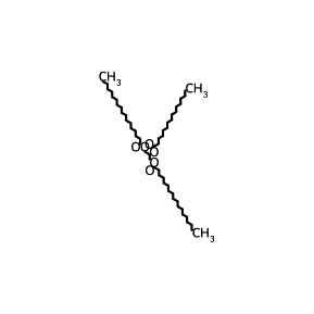 CCCCCCCCCCCCCCCCCC(=O)OCC(COC(=O)CCCCCCCCCCCCCCCCC)OC(=O)CCCCCCCCCCCCCCC